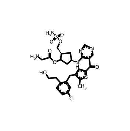 Cc1sc(C(=O)c2cncnc2N[C@H]2CC(OC(=O)CN)[C@@H](COS(N)(=O)=O)C2)cc1Cc1cc(Cl)ccc1CCO